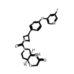 O=C1CO[C@H]2CCN(C(=O)N3CC(c4ccc(Oc5cncc(F)c5)cc4)C3)C[C@H]2N1